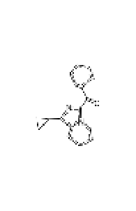 O=C(c1ccccc1)c1nc(C2CC2)c2ccccn12